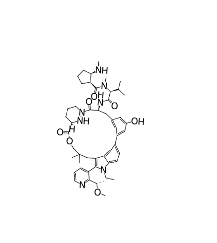 CCn1c(-c2cccnc2[C@H](C)OC)c2c3cc(ccc31)-c1cc(O)cc(c1)C[C@H](NC(=O)[C@H](C(C)C)N(C)C(=O)[C@H]1CCC[C@H]1NC)C(=O)N1CCC[C@H](N1)C(=O)OCC(C)(C)C2